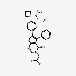 CC(C)(C)N(C(=O)O)C1(c2ccc(-c3oc4ncn(CC(F)F)c(=O)c4c3-c3ccccc3)cc2)CCC1